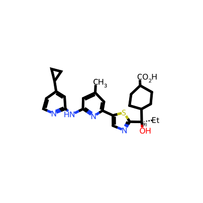 CC[C@](O)(c1ncc(-c2cc(C)cc(Nc3cc(C4CC4)ccn3)n2)s1)C1CCC(C(=O)O)CC1